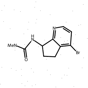 CNC(=O)NC1CCc2c(Br)ccnc21